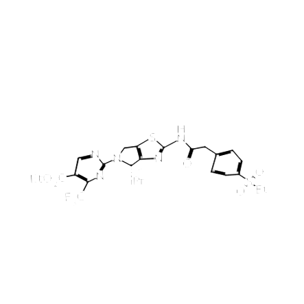 CCOC(=O)c1cnc(N2Cc3sc(NC(=O)Cc4ccc(S(=O)(=O)CC)cc4)nc3[C@@H]2C(C)C)nc1C(F)(F)F